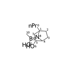 CCCC12CCC(C(O)C1)N2B(C)O